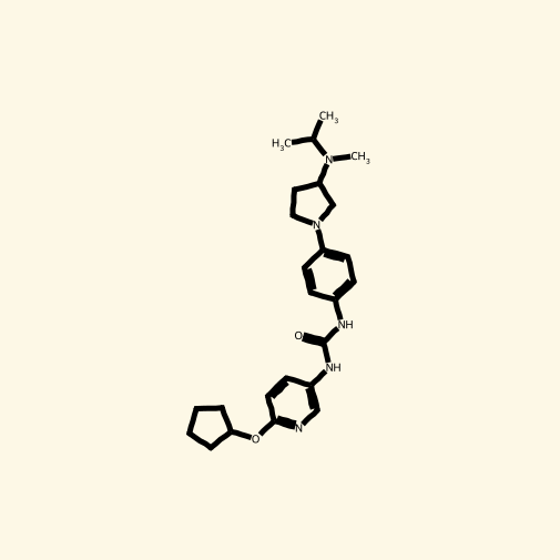 CC(C)N(C)C1CCN(c2ccc(NC(=O)Nc3ccc(OC4CCCC4)nc3)cc2)C1